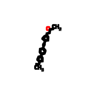 C=CC(=O)CCc1ccc(C#Cc2ccc(-c3ccc(CCC)cc3)cc2)cc1